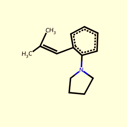 CC(C)=Cc1ccccc1N1CCCC1